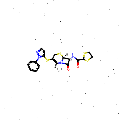 O=C(O)C1=C(Sc2ccnn2-c2ccccc2)CS[C@H]2[C@H](NC(=O)C3SCCS3)C(=O)N12